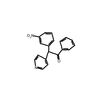 O=C(c1ccccc1)C(c1ccncc1)c1cccc([N+](=O)[O-])c1